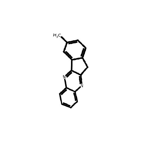 Cc1ccc2c(c1)-c1nc3ccccc3nc1C2